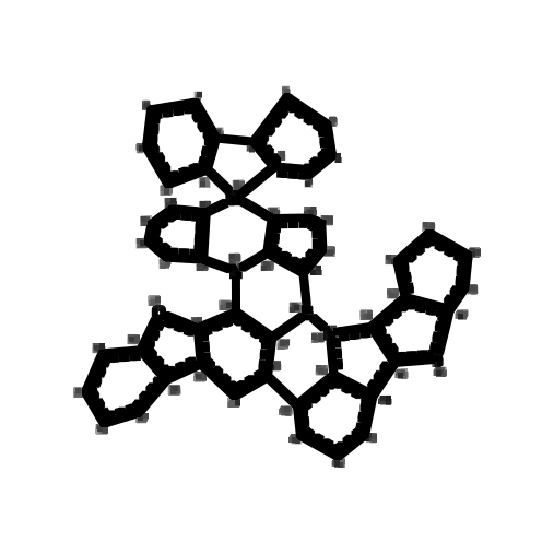 c1ccc2c(c1)-c1ccccc1[Si]21c2ccccc2N2c3c(cccc31)B1c3c(cc4c(oc5ccccc54)c32)-c2cccc3c4sc5ccccc5c4n1c23